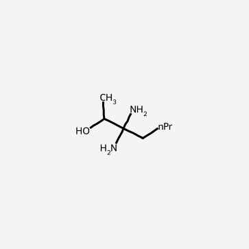 CCCCC(N)(N)C(C)O